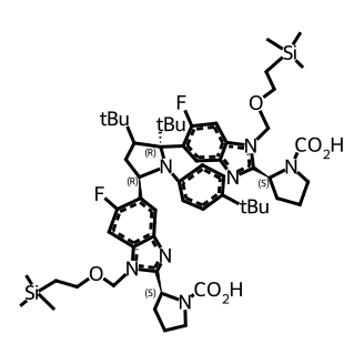 CC(C)(C)c1ccc(N2[C@@H](c3cc4nc([C@@H]5CCCN5C(=O)O)n(COCC[Si](C)(C)C)c4cc3F)CC(C(C)(C)C)[C@]2(c2cc3nc([C@@H]4CCCN4C(=O)O)n(COCC[Si](C)(C)C)c3cc2F)C(C)(C)C)cc1